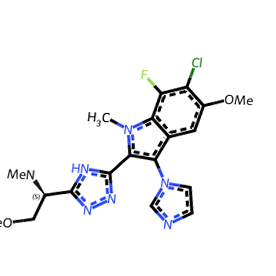 CN[C@H](COC)c1nnc(-c2c(-n3ccnc3)c3cc(OC)c(Cl)c(F)c3n2C)[nH]1